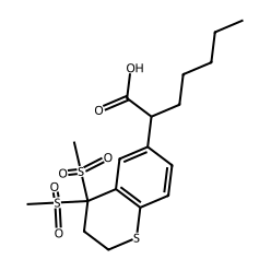 CCCCCC(C(=O)O)c1ccc2c(c1)C(S(C)(=O)=O)(S(C)(=O)=O)CCS2